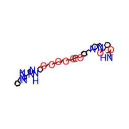 CN[C@@H](C)C(=O)C[C@H](C(=O)N1CCC2CCN(CCc3ccc(OCCOCCOCCOCCOCCOC4CCC(Nc5nccc(-c6cnn(Cc7ccccc7)c6N(C)C)n5)CC4)cc3)CC21)C1CCCCC1